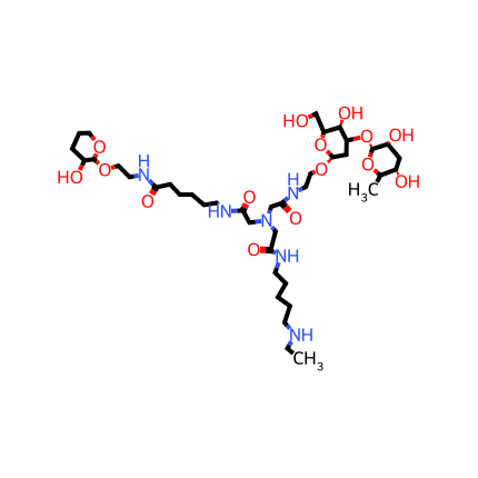 CCNCCCCCNC(=O)CN(CC(=O)NCCCCCC(=O)NCCOC1OCCCC1O)CC(=O)NCCO[C@@H]1CC(O[C@H]2OC(C)[C@@H](O)CC2O)[C@H](O)C(CO)O1